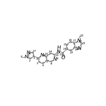 Cn1cc(-c2ccc3cnc(NC(=O)c4ccc5c(c4)ncn5C)cc3n2)cn1